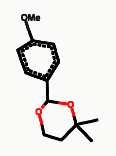 COc1ccc(C2OCCC(C)(C)O2)cc1